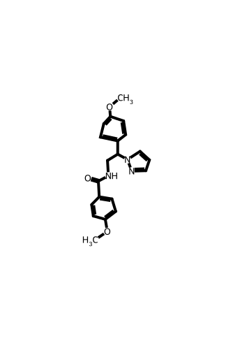 COc1ccc(C(=O)NCC(c2ccc(OC)cc2)n2cccn2)cc1